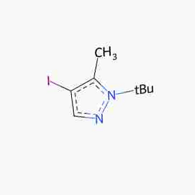 Cc1c(I)cnn1C(C)(C)C